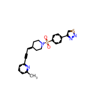 Cc1cccc(C#CC=C2CCN(S(=O)(=O)c3ccc(-c4csnn4)cc3)CC2)n1